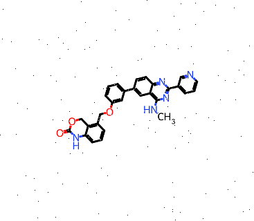 CNc1nc(-c2cccnc2)nc2ccc(-c3cccc(OCc4cccc5c4COC(=O)N5)c3)cc12